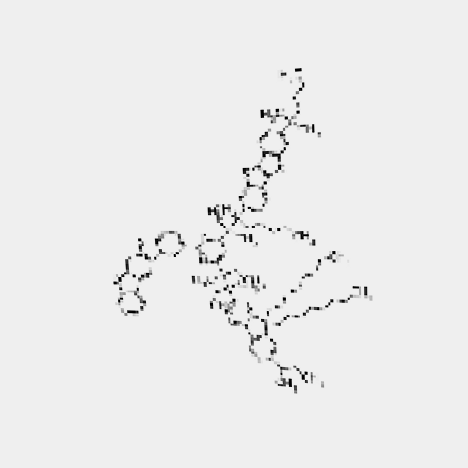 CCCCCCCCC1(CCCCCCCC)c2cc(C(C)CC)ccc2-c2ccc(C(C)(CC)C(C)(CC)c3cc(C(C)(CC)C(C)(CCCCC)c4ccc5c(c4)sc4c6ccc(C(C)(C)CCCC)cc6sc54)nc(-c4ccc5sc6cc7oc8ccccc8c7cc6c5c4)n3)cc21